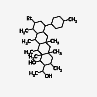 CCC1CC(C2CCC(C)CC2)C2CC3(C)CC4(C)CC(C)C(C(C)O)C(O)C4(C)C(C)C3C(C)C2C1C